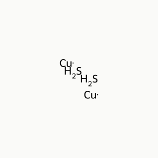 S.S.[Cu].[Cu]